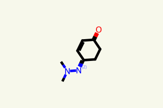 CN(C)/N=C1\C=CC(=O)CC1